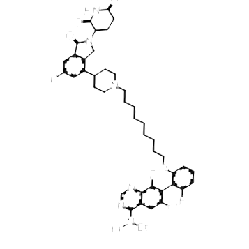 CCN(CC)c1ncnc2c(F)c(-c3c(F)cccc3OCCCCCCCCCN3CCC(c4cc(F)cc5c4CN(C4CCC(=O)NC4=O)C5=O)CC3)c(Cl)cc12